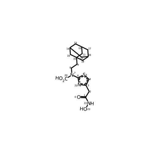 O=C(Cc1csc(N(CCC23CC4CC(CC(C4)C2)C3)C(=O)O)n1)NO